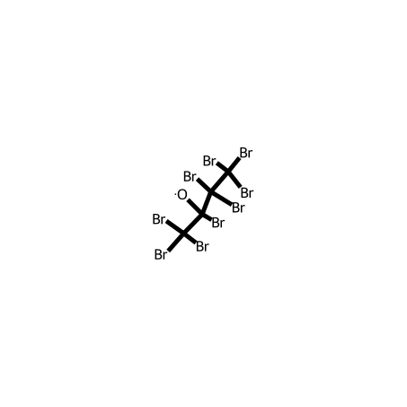 [O]C(Br)(C(Br)(Br)Br)C(Br)(Br)C(Br)(Br)Br